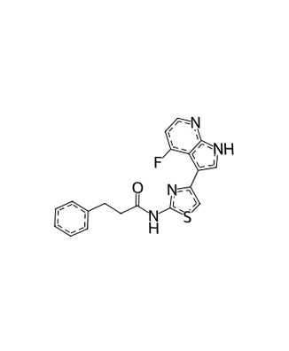 O=C(CCc1ccccc1)Nc1nc(-c2c[nH]c3nccc(F)c23)cs1